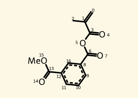 C=C(C)C(=O)OC(=O)c1cccc(C(=O)OC)c1